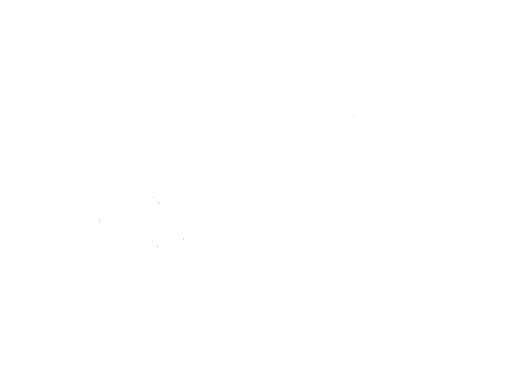 CCC(C)c1n[nH]c(-c2ccc(OC/C(=C/F)CN)cc2F)n1